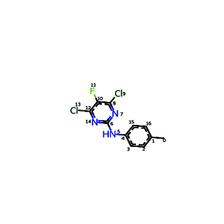 Cc1ccc(Nc2nc(Cl)c(F)c(Cl)n2)cc1